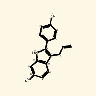 C=CCc1c(-c2ccc(C#N)cc2)[nH]c2cc(C#N)ccc12